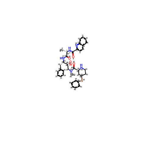 CC(C)[C@H](NC(=O)c1ccc2ccccc2n1)C(=O)N[C@@H](Cc1ccccc1)[C@H](O)CN(C(=O)[C@@H]1C[C@H](Sc2ccccc2)CCN1)C(C)(C)C